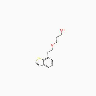 OCCCOCCc1cccc2ccsc12